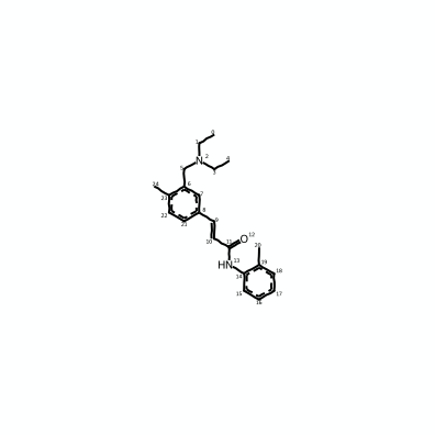 CCN(CC)Cc1cc(/C=C/C(=O)Nc2ccccc2C)ccc1C